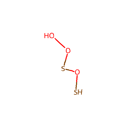 OOSOS